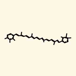 CC(/C=C/C=C(C)/C=C/c1ccc(C)c(C)c1C)=C\C=C\C=C(C)\C=C\C=C(C)\C=C\c1ccc(C)c(C)c1C